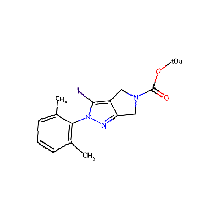 Cc1cccc(C)c1-n1nc2c(c1I)CN(C(=O)OC(C)(C)C)C2